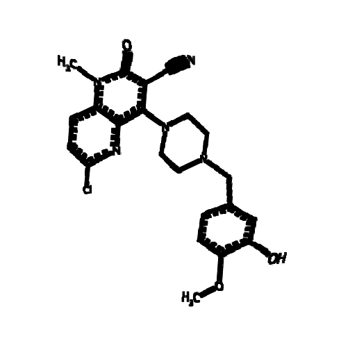 COc1ccc(CN2CCN(c3c(C#N)c(=O)n(C)c4ccc(Cl)nc34)CC2)cc1O